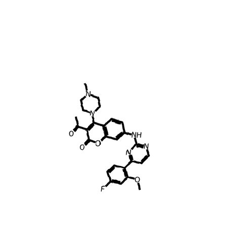 COc1cc(F)ccc1-c1ccnc(Nc2ccc3c(N4CCN(C)CC4)c(C(C)=O)c(=O)oc3c2)n1